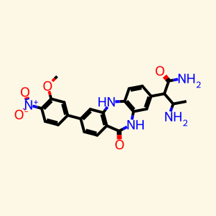 COc1cc(-c2ccc3c(c2)Nc2ccc(C(C(N)=O)C(C)N)cc2NC3=O)ccc1[N+](=O)[O-]